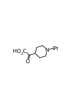 CC(C)N1CCC(C(=O)C(=O)O)CC1